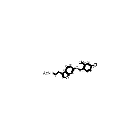 CC(=O)NCCc1coc2cc(OCc3ccc(Cl)cc3Cl)ccc12